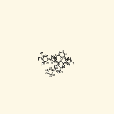 Cc1cccc(-n2nc(C)nc2C2CC(n3cc(-c4cc(F)c(F)c(F)c4)nn3)C3OC(c4ccccc4)OCC3O2)c1